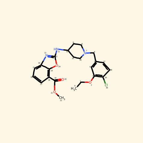 CCOc1cc(CN2CCC(Nc3nc4cccc(C(=O)OC)c4o3)CC2)ccc1Cl